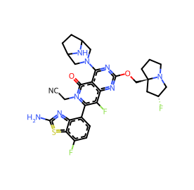 N#CCn1c(-c2ccc(F)c3sc(N)nc23)c(F)c2nc(OC[C@@]34CCCN3C[C@H](F)C4)nc(N3CC4CCC(C3)N4)c2c1=O